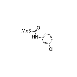 CSC(=O)Nc1cccc(O)c1